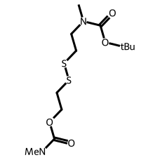 CNC(=O)OCCSSCCN(C)C(=O)OC(C)(C)C